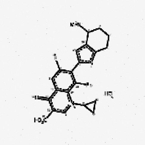 CNC1CCCc2sc(-c3c(F)cc4c(=O)c(C(=O)O)cn(C5CC5)c4c3F)cc21.Cl